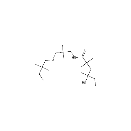 CCC(C)(C)COCC(C)(C)CNC(=O)C(C)(C)CC(C)(S)CC